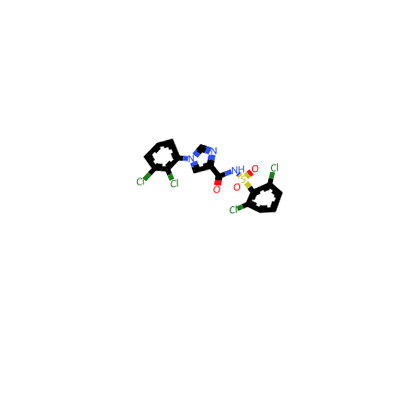 O=C(NS(=O)(=O)c1c(Cl)cccc1Cl)c1cn(-c2cccc(Cl)c2Cl)cn1